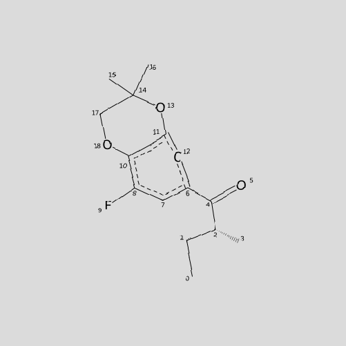 CC[C@@H](C)C(=O)c1cc(F)c2c(c1)OC(C)(C)CO2